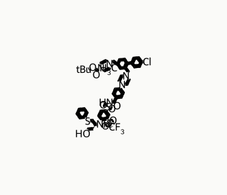 CC1(CN2CCN(C(=O)OC(C)(C)C)CC2)CCC(c2ccc(Cl)cc2)=C(CN2CCN(c3ccc(C(=O)NS(=O)(=O)c4ccc(N[C@H](CCO)CSc5ccccc5)c(S(=O)(=O)C(F)(F)F)c4)cc3)CC2)C1